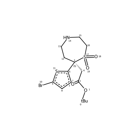 CC(C)(C)OC(=O)C[C@]1(c2ccc(Br)s2)CCNCCS1(=O)=O